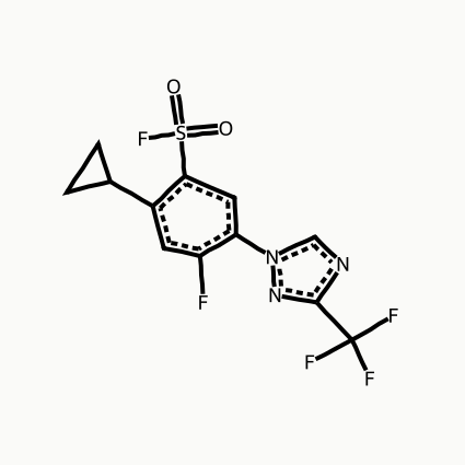 O=S(=O)(F)c1cc(-n2cnc(C(F)(F)F)n2)c(F)cc1C1CC1